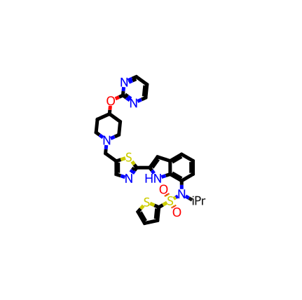 CC(C)N(c1cccc2cc(-c3ncc(CN4CCC(Oc5ncccn5)CC4)s3)[nH]c12)S(=O)(=O)c1cccs1